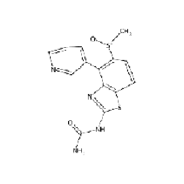 C[S+]([O-])c1ccc2sc(NC(N)=O)nc2c1-c1cccnc1